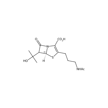 CC(=O)NCCCC1=C(C(=O)O)N2C(=O)C(C(C)(C)O)[C@@H]2S1